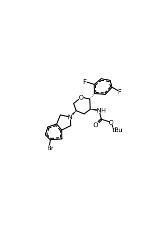 CC(C)(C)OC(=O)N[C@H]1C[C@@H](N2Cc3ccc(Br)cc3C2)CO[C@@H]1c1cc(F)ccc1F